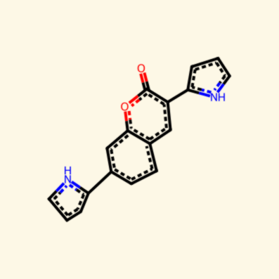 O=c1oc2cc(-c3ccc[nH]3)ccc2cc1-c1ccc[nH]1